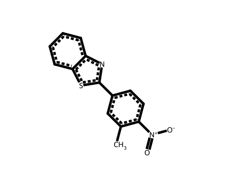 Cc1cc(-c2nc3ccccc3s2)ccc1[N+](=O)[O-]